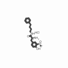 Cl.N[C@@H](Cc1ccc(O)c([N+](=O)[O-])c1)C(=O)NCCCCc1ccccc1